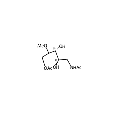 COC(COC(C)=O)[C@H](O)[C@H](O)CNC(C)=O